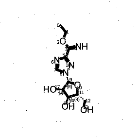 CCOC(=N)c1ncn([C@@H]2O[C@H](CO)[C@@H](O)[C@H]2O)n1